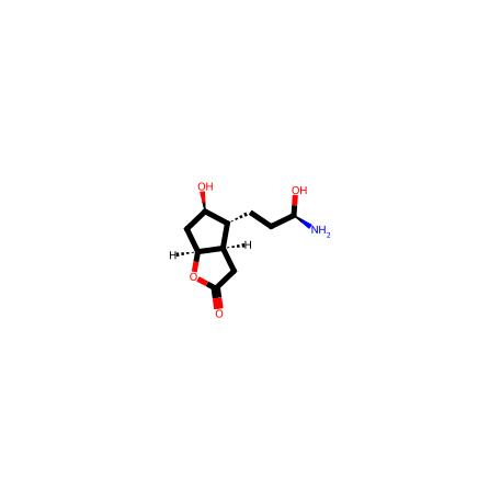 N[C@H](O)CC[C@@H]1[C@H]2CC(=O)O[C@H]2C[C@H]1O